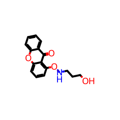 O=c1c2ccccc2oc2cccc(ONCCCO)c12